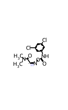 CN(C)C(=O)/[C]=N\OC(=O)Nc1cc(Cl)cc(Cl)c1